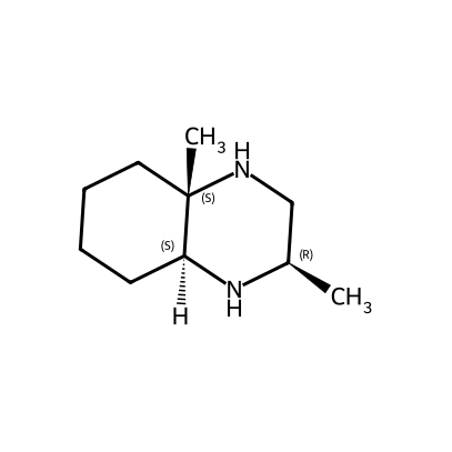 C[C@@H]1CN[C@@]2(C)CCCC[C@@H]2N1